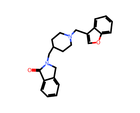 O=C1c2ccccc2CN1CC1CCN(Cc2coc3ccccc23)CC1